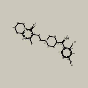 Cc1nc2n(c(=O)c1CCN1CCC(C(=N)c3ccc(F)cc3F)CC1)CCCC2